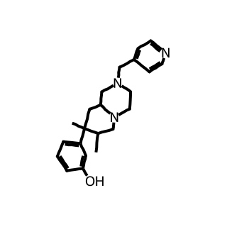 CC1CN2CCN(Cc3ccncc3)CC2CC1(C)c1cccc(O)c1